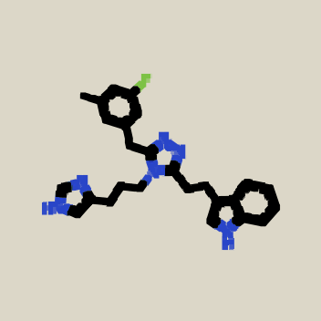 Cc1cc(F)cc(Cc2nnc(CCc3c[nH]c4ccccc34)n2CCCc2c[nH]cn2)c1